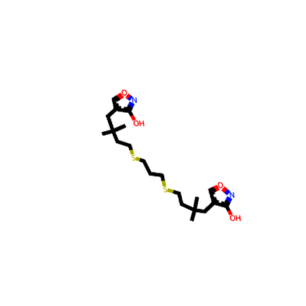 CC(C)(CCSCCCSCCC(C)(C)Cc1conc1O)Cc1conc1O